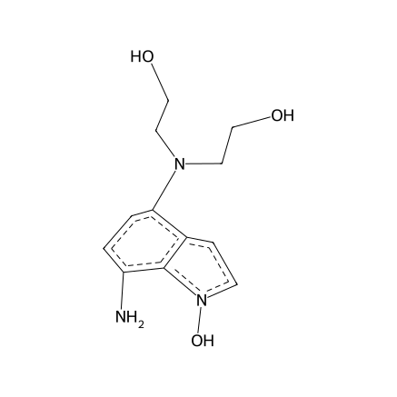 Nc1ccc(N(CCO)CCO)c2ccn(O)c12